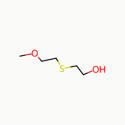 COCCSCCO